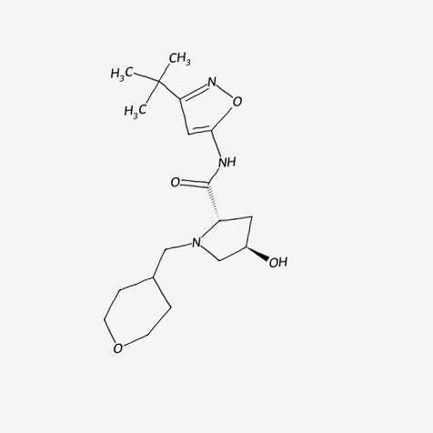 CC(C)(C)c1cc(NC(=O)[C@@H]2C[C@@H](O)CN2CC2CCOCC2)on1